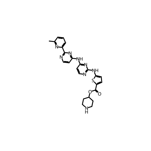 Cc1cccc(-c2nccc(Nc3ccnc(Nc4ccc(C(=O)OC5CCNCC5)s4)n3)n2)n1